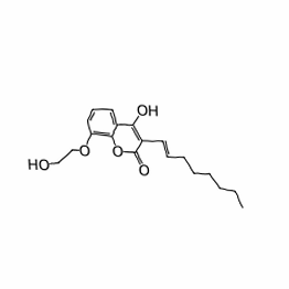 CCCCCCC=Cc1c(O)c2cccc(OCCO)c2oc1=O